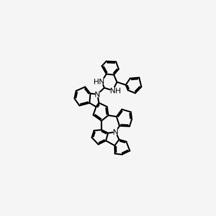 c1ccc(C2NC(n3c4ccccc4c4cc5c(cc43)-c3ccccc3-n3c4ccccc4c4cccc-5c43)Nc3ccccc32)cc1